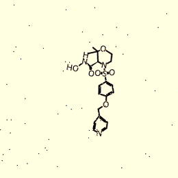 CC1(C)OCCN(S(=O)(=O)c2ccc(OCc3ccncc3)cc2)[C@H]1C(=O)NO